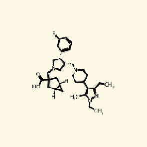 CCc1nn(CC)c(C)c1C1CCN(C[C@@H]2CN(CC3(C(=O)O)C[C@H]4C[C@H]4C3)C[C@@H]2c2cccc(F)c2)CC1